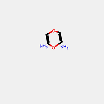 C1=COC=CO1.N.N